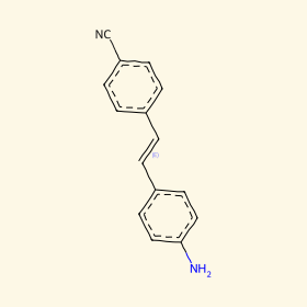 N#Cc1ccc(/C=C/c2ccc(N)cc2)cc1